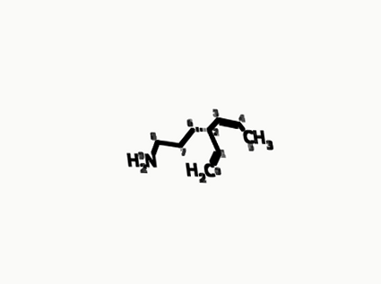 C=C[C@@H](/C=C\C)CCCN